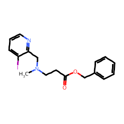 CN(CCC(=O)OCc1ccccc1)Cc1ncccc1I